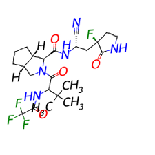 CC(C)(C)C(NC(=O)C(F)(F)F)C(=O)N1C[C@@H]2CCC[C@@H]2[C@H]1C(=O)N[C@H](C#N)C[C@]1(F)CCNC1=O